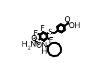 NS(=O)(=O)c1c(F)c(F)c(SCc2ccc(C(=O)O)cc2)c(F)c1NC1CCCCCCCCC1